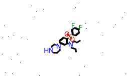 CCCN(CCC)c1cc(N2CCCNCC2)ccc1S(=O)(=O)c1ccc(F)c(F)c1